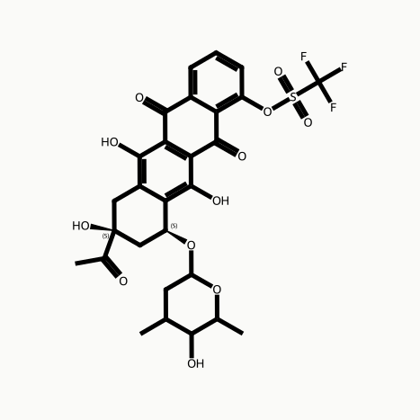 CC(=O)[C@]1(O)Cc2c(O)c3c(c(O)c2[C@@H](OC2CC(C)C(O)C(C)O2)C1)C(=O)c1c(OS(=O)(=O)C(F)(F)F)cccc1C3=O